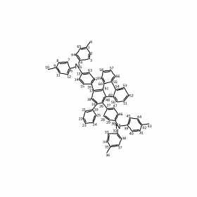 Cc1ccc(N(c2ccc(C)cc2)c2ccc(-c3cc(-c4ccccc4)c(-c4ccc(N(c5ccc(C)cc5)c5ccc(C)cc5)cc4)c4c5ccccc5c5ccccc5c34)cc2)cc1